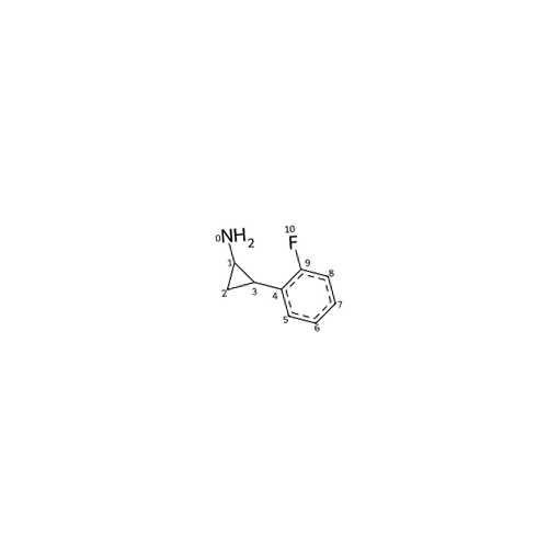 NC1CC1c1ccccc1F